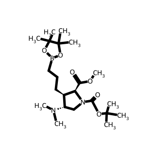 COC(=O)[C@@H]1[C@H](CCCB2OC(C)(C)C(C)(C)O2)[C@@H](N(C)C)CN1C(=O)OC(C)(C)C